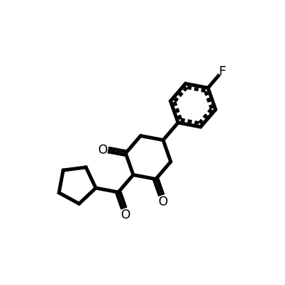 O=C1CC(c2ccc(F)cc2)CC(=O)C1C(=O)C1CCCC1